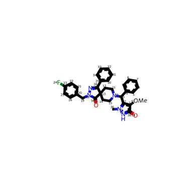 COc1c(C(c2ccccc2)N2CCC3(CC2)C(=O)N(Cc2ccc(F)cc2)N=C3c2ccccc2)n(C)[nH]c1=O